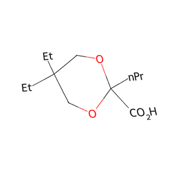 CCCC1(C(=O)O)OCC(CC)(CC)CO1